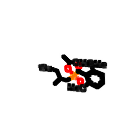 COc1cccc(OC)c1C(=O)P(=O)(CC(C)CC(C)(C)C)OC(C)OC